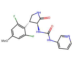 COc1cc(F)c([C@@H]2CNC(=O)[C@H]2NC(=O)Nc2cccnc2)c(F)c1